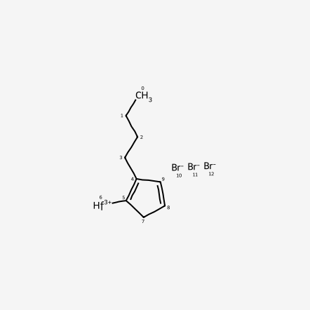 CCCCC1=[C]([Hf+3])CC=C1.[Br-].[Br-].[Br-]